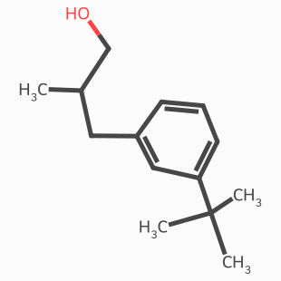 CC(CO)Cc1cccc(C(C)(C)C)c1